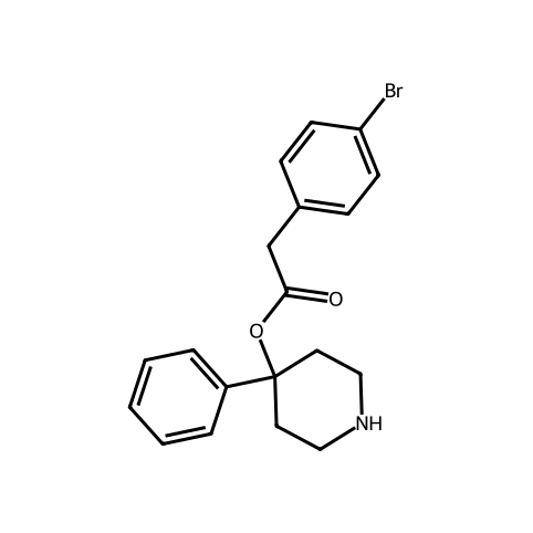 O=C(Cc1ccc(Br)cc1)OC1(c2ccccc2)CCNCC1